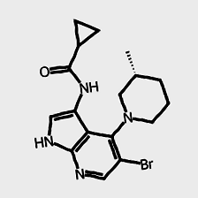 C[C@@H]1CCCN(c2c(Br)cnc3[nH]cc(NC(=O)C4CC4)c23)C1